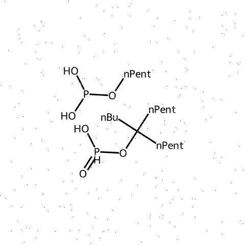 CCCCCC(CCCC)(CCCCC)O[PH](=O)O.CCCCCOP(O)O